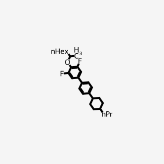 CCCCCCC(C)Oc1c(F)cc(-c2ccc(C3CCC(CCC)CC3)cc2)cc1F